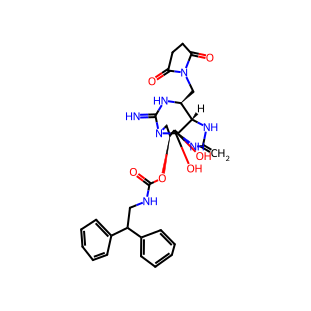 C=C1N[C@H]2[C@H](CN3C(=O)CCC3=O)NC(=N)N3C[C@H](OC(=O)NCC(c4ccccc4)c4ccccc4)C(O)(O)[C@]23N1